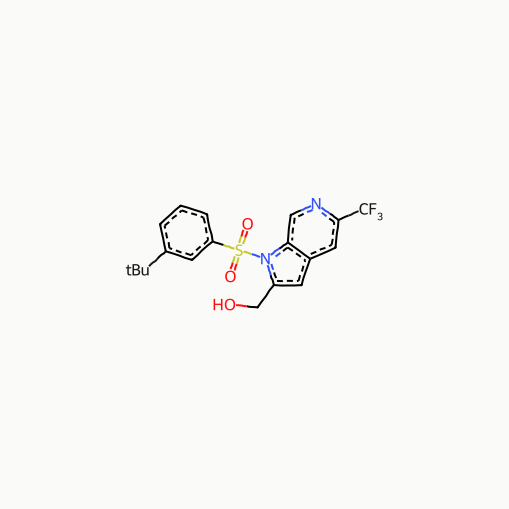 CC(C)(C)c1cccc(S(=O)(=O)n2c(CO)cc3cc(C(F)(F)F)ncc32)c1